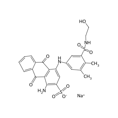 Cc1cc(Nc2cc(S(=O)(=O)[O-])c(N)c3c2C(=O)c2ccccc2C3=O)cc(S(=O)(=O)NCCO)c1C.[Na+]